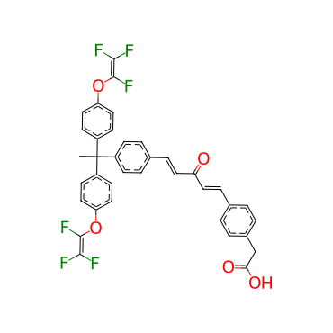 CC(c1ccc(/C=C/C(=O)/C=C/c2ccc(CC(=O)O)cc2)cc1)(c1ccc(OC(F)=C(F)F)cc1)c1ccc(OC(F)=C(F)F)cc1